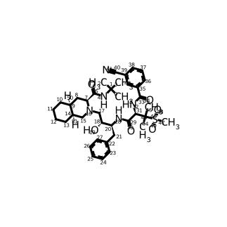 CC(C)(C)NC(=O)[C@@H]1C[C@@H]2CCCC[C@@H]2CN1C[C@@H](O)[C@H](Cc1ccccc1)NC(=O)[C@@H](NC(=O)c1cccc(C#N)c1)C(C)(C)S(C)(=O)=O